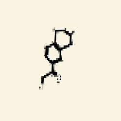 O=C(CI)c1ccc2c(c1)CCCC2